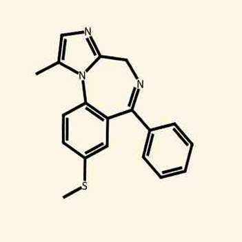 CSc1ccc2c(c1)C(c1ccccc1)=NCc1ncc(C)n1-2